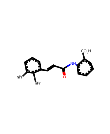 CCCc1cccc(/C=C/C(=O)Nc2ccccc2C(=O)O)c1CCC